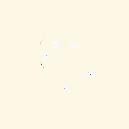 Cc1cccc(C2=C(c3ccc4nccc(C(N)=O)c4c3)N3C(N2)[C@H]2CC[C@@H]3C2)n1